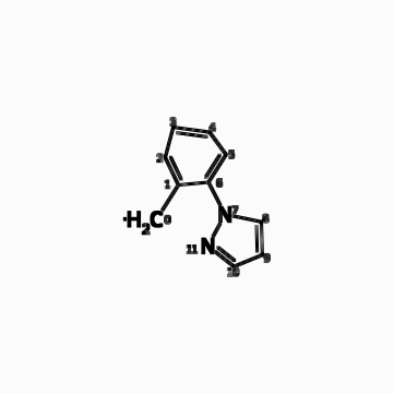 [CH2]c1ccccc1-n1cccn1